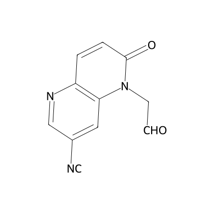 [C-]#[N+]c1cnc2ccc(=O)n(CC=O)c2c1